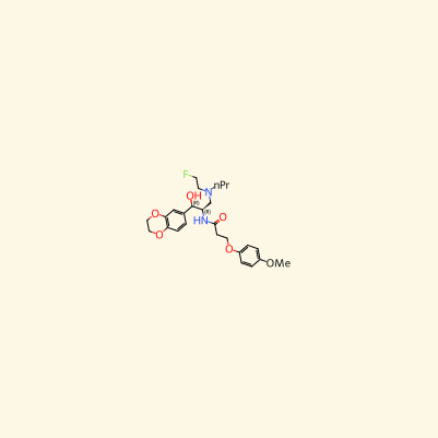 CCCN(CCF)C[C@@H](NC(=O)CCOc1ccc(OC)cc1)[C@H](O)c1ccc2c(c1)OCCO2